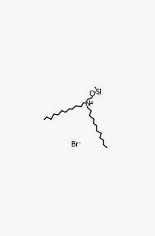 CCCCCCCCCCCC[N+](C)(CCCCCCCCCCCC)CCO[Si](C)(C)C.[Br-]